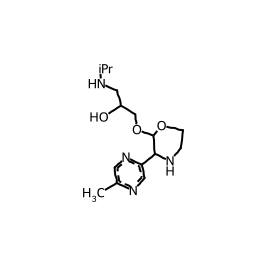 Cc1cnc(C2NCCOC2OCC(O)CNC(C)C)cn1